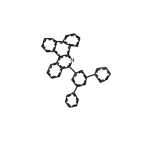 c1ccc(-c2cc(-c3ccccc3)cc(-c3nc4c5ccccc5c5ccccc5c4c4ccccc34)c2)cc1